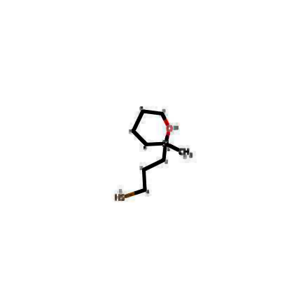 C[Si]1(CCCS)CCCCO1